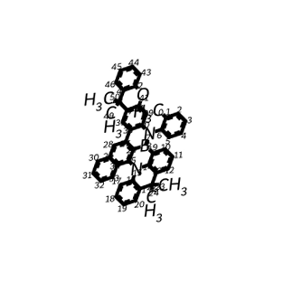 Cc1ccccc1N1B2c3cccc4c3N(c3ccccc3C4(C)C)c3c2c(cc2ccccc32)-c2cc3c(cc21)Oc1ccccc1C3(C)C